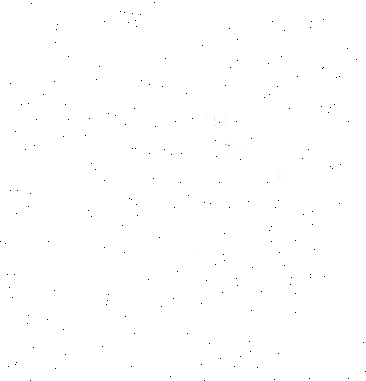 COc1ccc2c(c1OCc1ccccc1)C[C@H](OC(=O)O)NC2